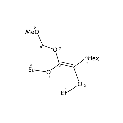 CCCCCCC(OCC)=C(OCC)OCOC